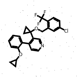 FC(F)(F)c1ccc(Cl)cc1COC1(c2cnccc2-c2ccccc2OC2CC2)CC1